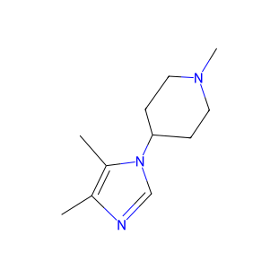 Cc1ncn(C2CCN(C)CC2)c1C